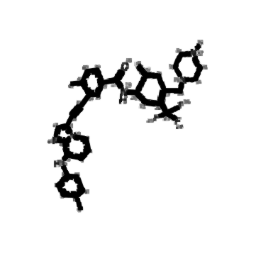 Cc1ccc(Nc2cccn3c(C#Cc4cc(C(=O)NC5CC(C(F)(F)F)=C(CN6CCN(C)CC6)CC5C)ccc4C)cnc23)cc1